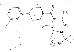 C=N/C(NC1(C)CC1)=C(\C)C(C(=O)N1CCC(c2nccc(C)n2)CC1)=C(C)C